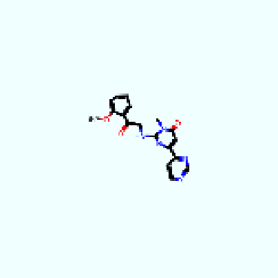 CC(C)Oc1ccccc1C(=O)CNc1nc(-c2ccncn2)cc(=O)n1C